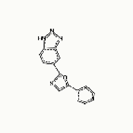 c1ccc(-c2cnc(-c3ccc4[nH]nnc4c3)o2)cc1